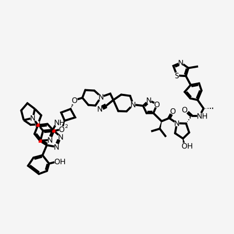 Cc1ncsc1-c1ccc([C@H](C)NC(=O)[C@@H]2C[C@@H](O)CN2C(=O)[C@H](c2cc(N3CCC(C#N)(CN4CCC(O[C@H]5C[C@H](Oc6cc(N7C8CCC7CN(c7cc(-c9ccccc9O)nnc7N)C8)ccn6)C5)CC4)CC3)no2)C(C)C)cc1